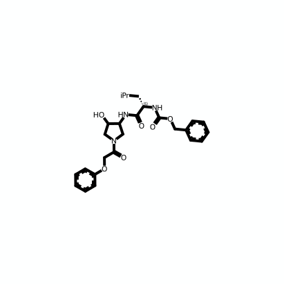 CC(C)C[C@H](NC(=O)OCc1ccccc1)C(=O)NC1CN(C(=O)COc2ccccc2)CC1O